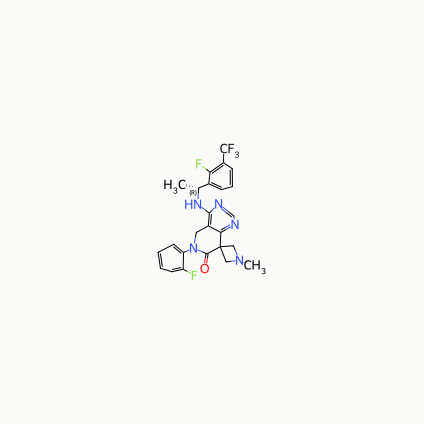 C[C@@H](Nc1ncnc2c1CN(c1ccccc1F)C(=O)C21CN(C)C1)c1cccc(C(F)(F)F)c1F